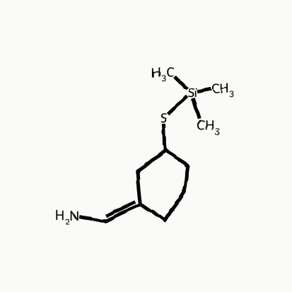 C[Si](C)(C)SC1CCCC(=CN)C1